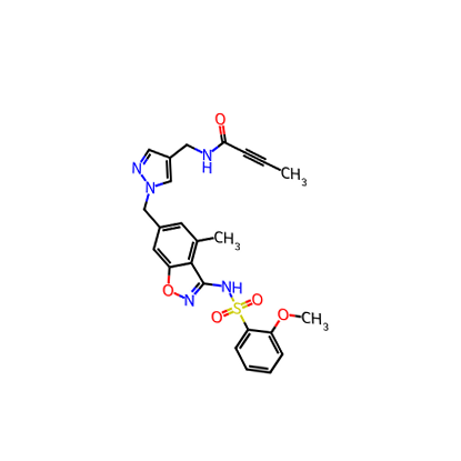 CC#CC(=O)NCc1cnn(Cc2cc(C)c3c(NS(=O)(=O)c4ccccc4OC)noc3c2)c1